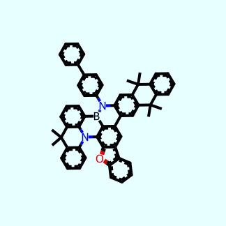 CC1(C)c2ccccc2C(C)(C)c2cc3c(cc21)-c1cc2c(oc4ccccc42)c2c1B(c1cccc4c1N2c1ccccc1C4(C)C)N3c1ccc(-c2ccccc2)cc1